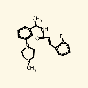 CC(NC(=O)C=Cc1ccccc1F)c1cccc(N2CCN(C)CC2)c1